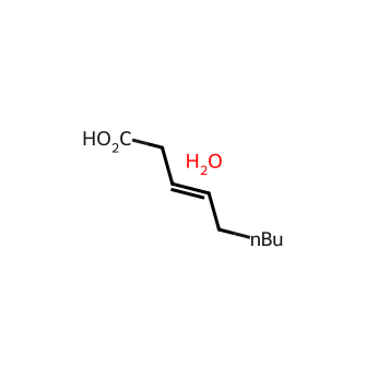 CCCCCC=CCC(=O)O.O